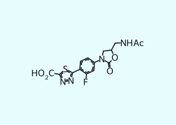 CC(=O)NCC1CN(c2ccc(-c3nnc(C(=O)O)s3)c(F)c2)C(=O)O1